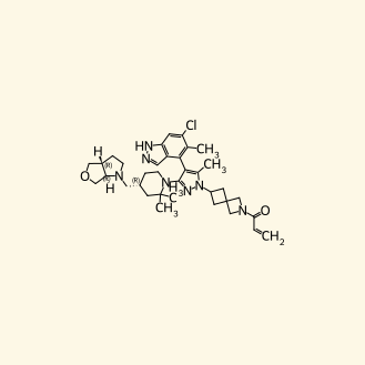 C=CC(=O)N1CC2(CC(n3nc(N4CC[C@@H](CN5CC[C@H]6COC[C@@H]65)CC4(C)C)c(-c4c(C)c(Cl)cc5[nH]ncc45)c3C)C2)C1